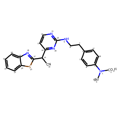 CC(C)(C)N(C(=O)O)c1ccc(CCNc2nccc(C(C#N)c3nc4ccccc4s3)n2)cc1